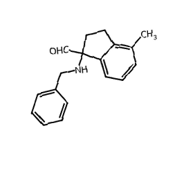 Cc1cccc2c1CCC2(C=O)NCc1ccccc1